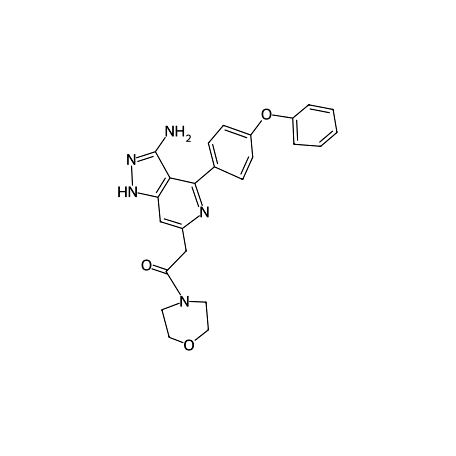 Nc1n[nH]c2cc(CC(=O)N3CCOCC3)nc(-c3ccc(Oc4ccccc4)cc3)c12